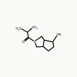 CC(C)C(=O)N1CC2CCC(O)C2C1